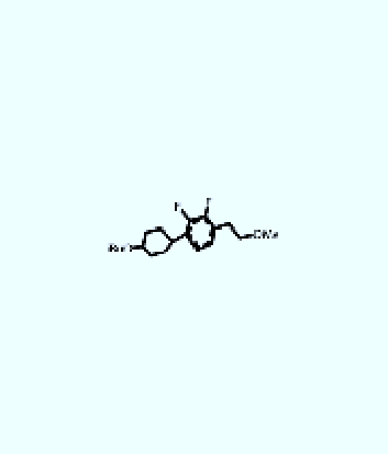 COCCc1ccc(C2CCC(OCC(C)C)CC2)c(F)c1F